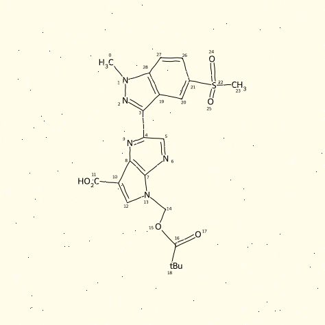 Cn1nc(-c2cnc3c(n2)c(C(=O)O)cn3COC(=O)C(C)(C)C)c2cc(S(C)(=O)=O)ccc21